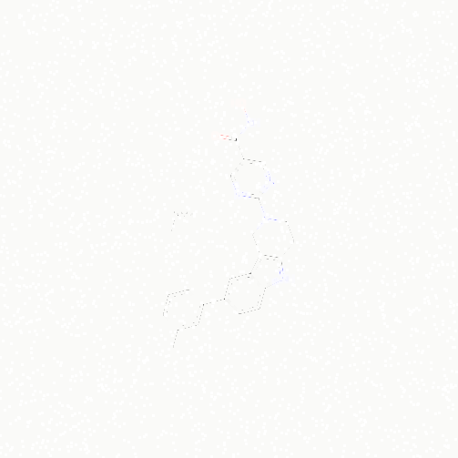 CNC.Cc1cccc(-c2ccc3[nH]c4c(c3c2)CN(c2ncc(C(=O)NO)cn2)CC4)c1